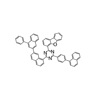 c1ccc(-c2cc(-c3ccc4cccc(-c5nc(-c6ccc(-c7cccc8ccccc78)cc6)nc(-c6cccc7c6oc6ccccc67)n5)c4c3)cc3ccccc23)cc1